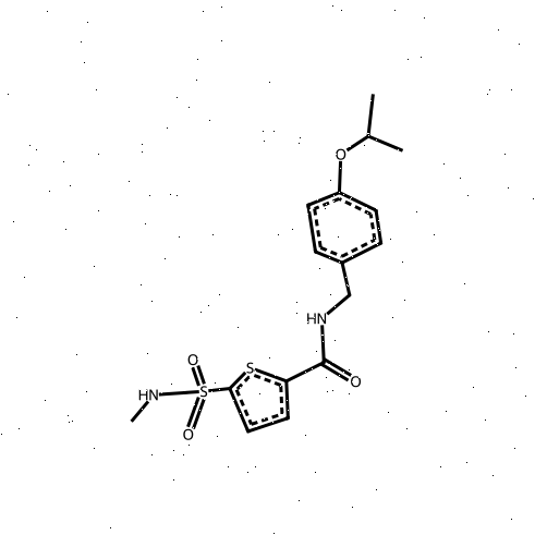 CNS(=O)(=O)c1ccc(C(=O)NCc2ccc(OC(C)C)cc2)s1